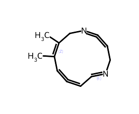 C/C1=C(\C)CN=C=CC/N=C/C=C=C1